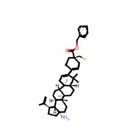 C=C(C)[C@@H]1CC[C@]2(N)CC[C@]3(C)[C@H](CC[C@@H]4[C@@]5(C)CC=C(C6=CC[C@@](CF)(C(=O)OCc7ccccc7)CC6)C(C)(C)[C@@H]5CC[C@]43C)[C@@H]12